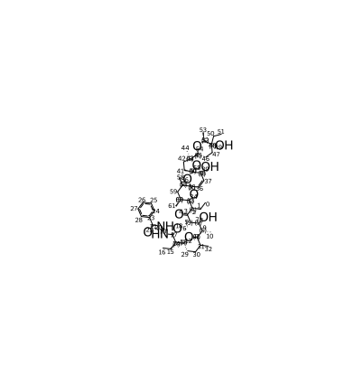 CC[C@@H](C(=O)[C@@H](C)[C@@H](O)[C@H](C)[C@@H]1O[C@@H]([C@@H](CC)C(=O)NNC(=O)c2ccccc2)CCC1C)[C@H]1O[C@]2(C=C[C@@H](O)[C@]3(CC[C@@](C)([C@H]4CC[C@](O)(CC)[C@H](C)O4)O3)O2)[C@H](C)C[C@@H]1C